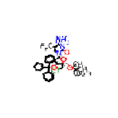 CC(C)(C)[Si](C)(C)OC[C@@]1(CCl)O[C@@H](n2cc(C(F)(F)F)c(N)nc2=O)C[C@@H]1OC(c1ccccc1)(c1ccccc1)c1ccccc1